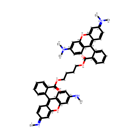 CCN=c1ccc2c(-c3ccccc3C(=O)OCCCCOC(=O)c3ccccc3-c3c4ccc(=[N+](CC)CC)cc-4oc4cc(N(CC)CC)ccc34)c3ccc(NCC)cc3oc-2c1